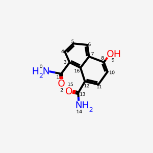 NC(=O)c1cccc2c(O)ccc(C(N)=O)c12